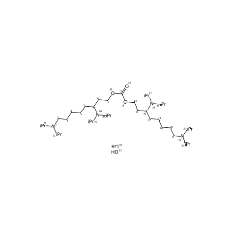 CC(C)N(CCCCCC(CCOC(=O)OCCC(CCCCCN(C(C)C)C(C)C)N(C(C)C)C(C)C)N(C(C)C)C(C)C)C(C)C.Cl.Cl